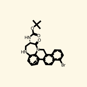 COc1ccc2c(Br)cccc2c1CN1C(=O)[C@@H](NC(=O)OC(C)(C)C)CNc2ccccc21